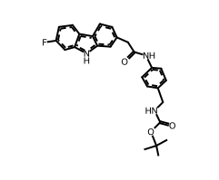 CC(C)(C)OC(=O)NCc1ccc(NC(=O)Cc2ccc3c(c2)[nH]c2cc(F)ccc23)cc1